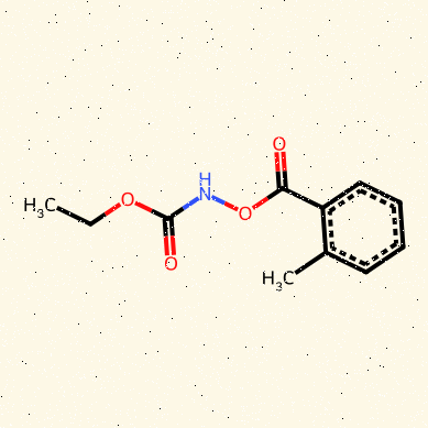 CCOC(=O)NOC(=O)c1ccccc1C